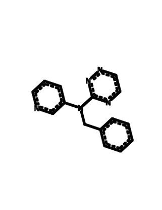 c1ccc(CN(c2cccnc2)c2nccnn2)cc1